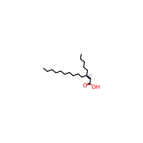 CCCCCCCCCC/C(=C\C(=O)O)CCCCC